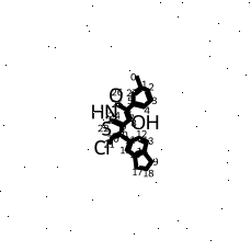 Cc1cccc(-c2c(O)c3c(-c4ccc5c(c4)CCC5)c(Cl)sc3[nH]c2=O)c1